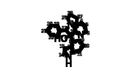 OC(c1ccccn1)(c1cccc2[nH]ccc12)C(c1ccccc1)N1CCCC1